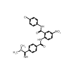 CN(C)C(=N)c1ccc(C(=O)Nc2ccc([N+](=O)[O-])cc2C(=O)Nc2ccc(Cl)cc2)cc1